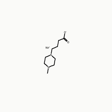 CN1CCN(CCCC(=O)[O-])CC1.[Na+]